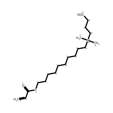 C=CC(=O)OCCCCCCCCCC[N+](C)(C)CCCC(=O)[O-]